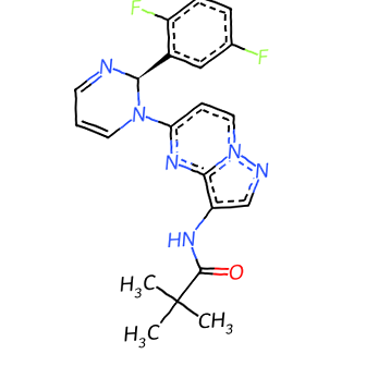 CC(C)(C)C(=O)Nc1cnn2ccc(N3C=CC=N[C@H]3c3cc(F)ccc3F)nc12